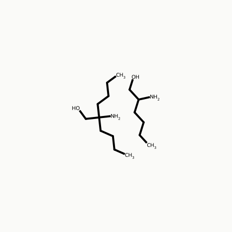 CCCCC(N)(CO)CCCC.CCCCC(N)CO